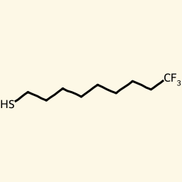 FC(F)(F)CCCCCCCCS